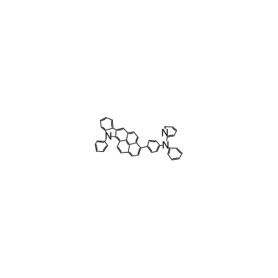 c1ccc(N(c2ccc(-c3ccc4ccc5c6c(ccc3c46)cc3c4ccccc4n(-c4ccccc4)c35)cc2)c2ccccn2)cc1